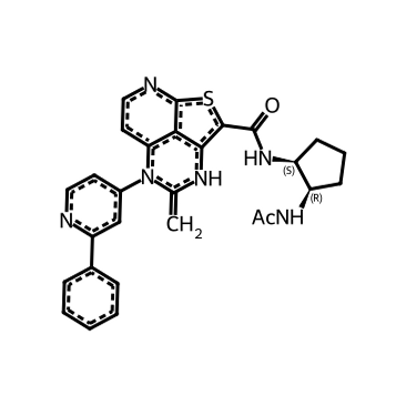 C=c1[nH]c2c(C(=O)N[C@H]3CCC[C@H]3NC(C)=O)sc3nccc(c32)n1-c1ccnc(-c2ccccc2)c1